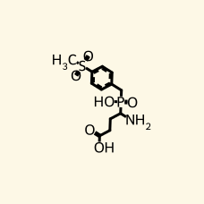 CS(=O)(=O)c1ccc(CP(=O)(O)C(N)CCC(=O)O)cc1